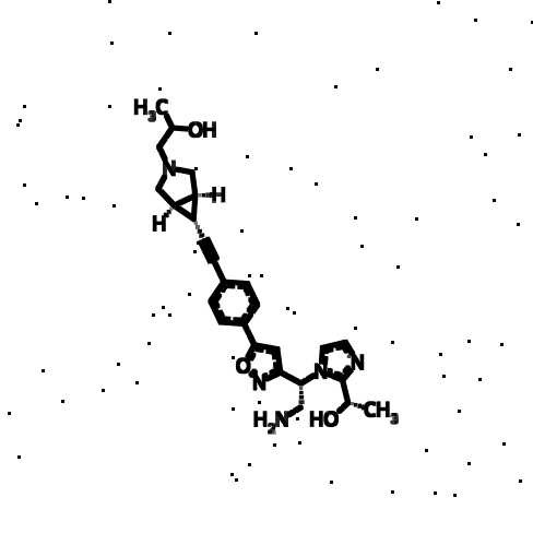 CC(O)CN1C[C@@H]2[C@@H](C#Cc3ccc(-c4cc([C@@H](CN)n5ccnc5[C@H](C)O)no4)cc3)[C@@H]2C1